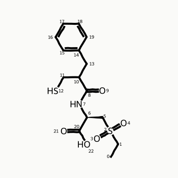 CCS(=O)(=O)C[C@H](NC(=O)C(CS)Cc1ccccc1)C(=O)O